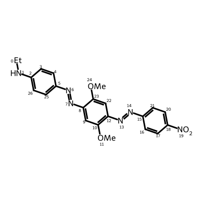 CCNc1ccc(N=Nc2cc(OC)c(N=Nc3ccc([N+](=O)[O-])cc3)cc2OC)cc1